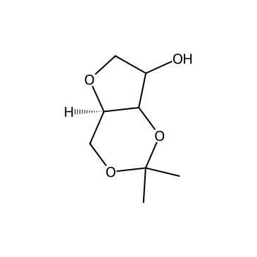 CC1(C)OC[C@H]2OCC(O)C2O1